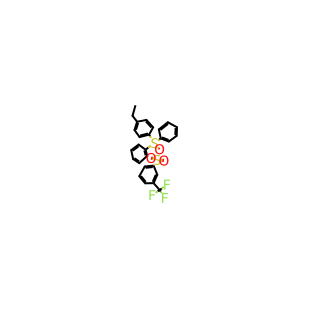 CCc1ccc(S(OS(=O)(=O)c2cccc(C(F)(F)F)c2)(c2ccccc2)c2ccccc2)cc1